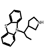 CCC(C1CCNC1)N1c2ccccc2Sc2ccccc21